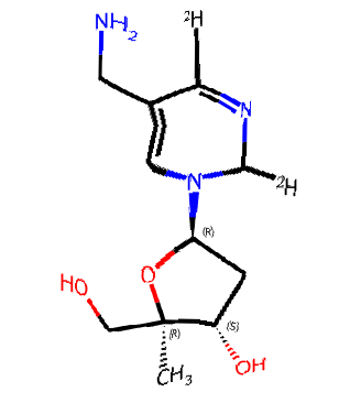 [2H]C1=NC([2H])N([C@H]2C[C@H](O)[C@@](C)(CO)O2)C=C1CN